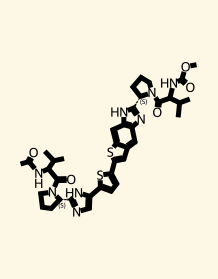 COC(=O)NC(C(=O)N1CCC[C@H]1c1nc2cc3cc(-c4ccc(-c5cnc([C@@H]6CCCN6C(=O)C(NC(C)=O)C(C)C)[nH]5)s4)sc3cc2[nH]1)C(C)C